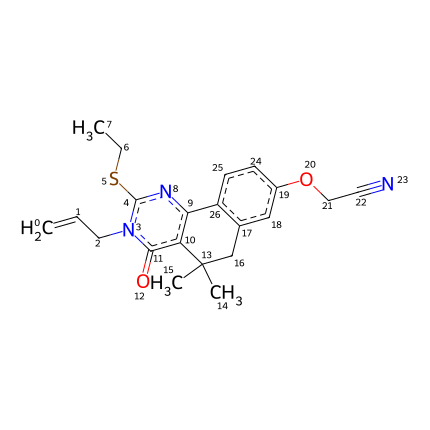 C=CCn1c(SCC)nc2c(c1=O)C(C)(C)Cc1cc(OCC#N)ccc1-2